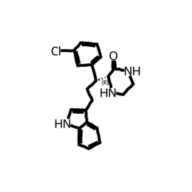 O=C1NCCN[C@@H]1C(CCc1c[nH]c2ccccc12)c1cccc(Cl)c1